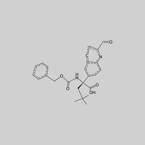 CC(C)(C)C[C@](NC(=O)OCc1ccccc1)(C(=O)O)c1ccc2nc(C=O)ccc2c1